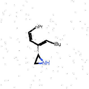 CCC/C=C\C(=C\C(C)CC)[C@H]1CN1